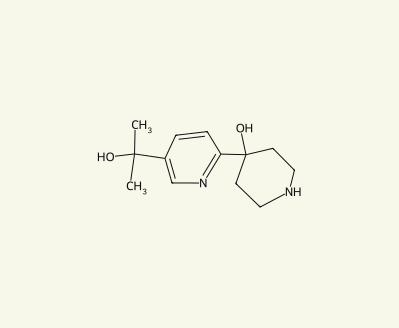 CC(C)(O)c1ccc(C2(O)CCNCC2)nc1